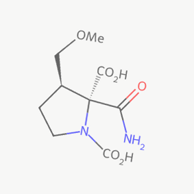 COC[C@@H]1CCN(C(=O)O)[C@@]1(C(N)=O)C(=O)O